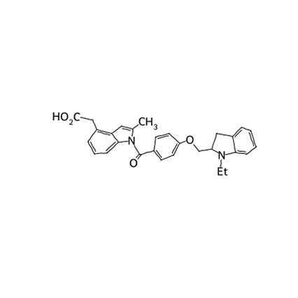 CCN1c2ccccc2CC1COc1ccc(C(=O)n2c(C)cc3c(CC(=O)O)cccc32)cc1